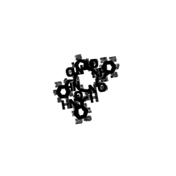 O=C1N[C@@H](Cc2ccccc2)C(=O)N2CCC[C@H]2C(=O)N[C@H](Cc2ccccc2)C(=O)N[C@@H]1Cc1c[nH]c2ccccc12